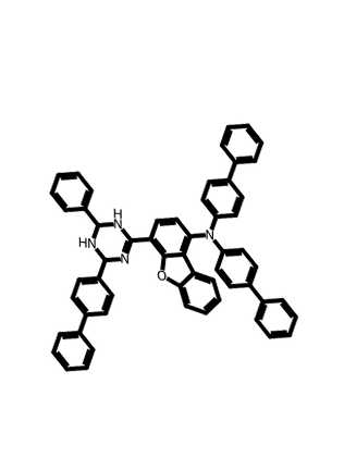 c1ccc(-c2ccc(C3N=C(c4ccc(N(c5ccc(-c6ccccc6)cc5)c5ccc(-c6ccccc6)cc5)c5c4oc4ccccc45)NC(c4ccccc4)N3)cc2)cc1